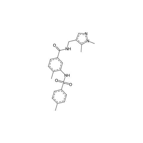 Cc1ccc(S(=O)(=O)Nc2cc(C(=O)NCc3cnn(C)c3C)ccc2C)cc1